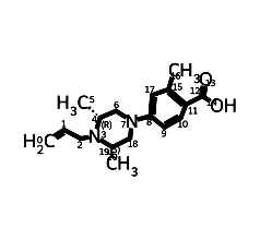 C=CCN1[C@H](C)CN(c2ccc(C(=O)O)c(C)c2)C[C@@H]1C